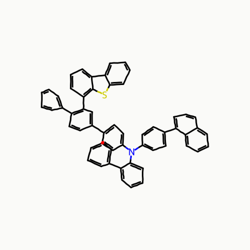 c1ccc(-c2ccc(-c3ccc(N(c4ccc(-c5cccc6ccccc56)cc4)c4ccccc4-c4ccccc4)cc3)cc2-c2cccc3c2sc2ccccc23)cc1